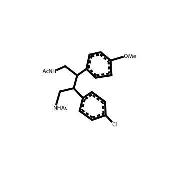 COc1ccc(C(CNC(C)=O)C(CNC(C)=O)c2ccc(Cl)cc2)cc1